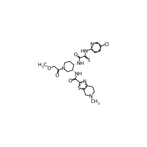 COCC(=O)N1CC[C@H](NC(=O)C(=S)Nc2ccc(Cl)cn2)[C@H](NC(=O)c2nc3c(s2)CN(C)CC3)C1